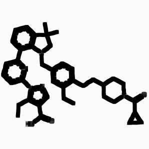 CCc1cc(CN2CC(C)(C)c3cccc(-c4cccc(-n5ncc(C(=O)O)c5CC)n4)c32)ccc1CCC1CCN(C(=O)C2CC2)CC1